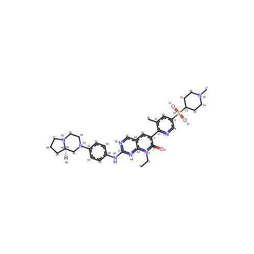 CCn1c(=O)c(-c2ncc(S(=O)(=O)C3CCN(C)CC3)cc2C)cc2cnc(Nc3ccc(N4CCN5CCC[C@@H]5C4)cc3)nc21